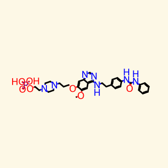 COc1cc2c(NCCc3ccc(NC(=O)Nc4ccccc4)cc3)ncnc2cc1OCCCN1CCN(CCOP(=O)(O)O)CC1